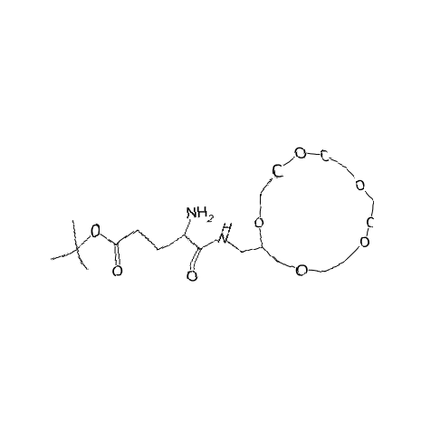 CC(C)(C)OC(=O)CCC(N)C(=O)NCC1COCCOCCOCCOCCO1